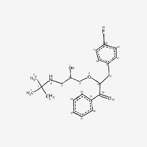 CC(C)(C)NCC(O)COC(Cc1ccc(F)cc1)C(=O)c1ccccc1